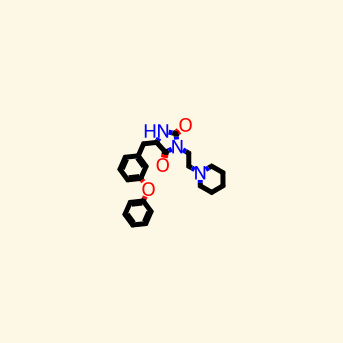 O=C1NC(Cc2cccc(Oc3ccccc3)c2)C(=O)N1CCN1CCCCC1